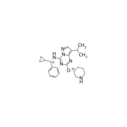 CC(C)c1cnn2c(N[C@H](c3ccccc3)C3CC3)nc(O[C@@H]3CCCNC3)nc12